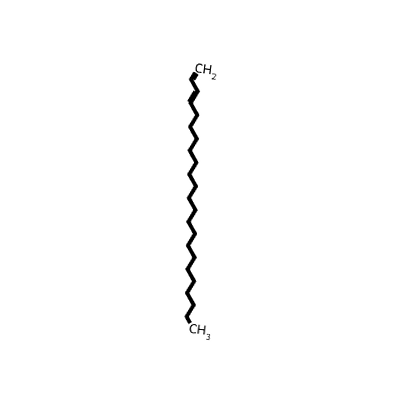 C=C/C=C/CCCCCCCCCCCCCCCCCCC